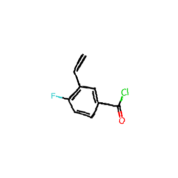 C=Cc1cc(C(=O)Cl)ccc1F